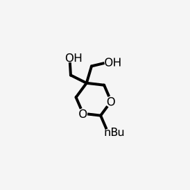 CCCCC1OCC(CO)(CO)CO1